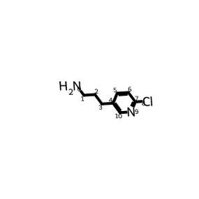 NCCCc1ccc(Cl)nc1